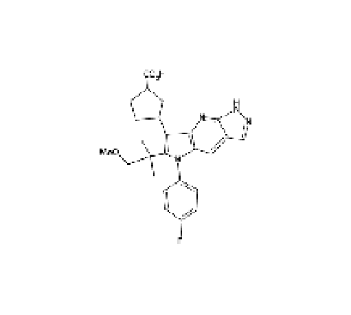 COCC(C)(C)c1c(C2CCC(C(=O)O)C2)c2nc3[nH]ncc3cc2n1-c1ccc(F)cc1